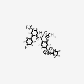 CC1(C)C[C@@H](Oc2ccc(C(F)(F)F)cc2-c2ccc(F)cc2)c2ccc(S(=O)(=O)Nc3nccs3)cc2O1